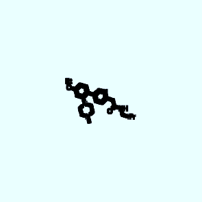 CCOc1ccc(-c2ccc(CC(=O)NCC(C)C)nc2)c(N2CCN(C)CC2)c1